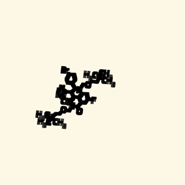 Cn1ncnc1C1c2nn(COCC[Si](C)(C)C)c(=O)c3cc(F)cc(c23)N(COCC[Si](C)(C)C)C1c1ccc(Br)cc1